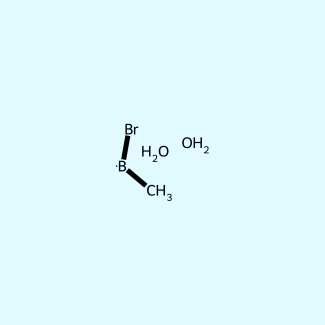 C[B]Br.O.O